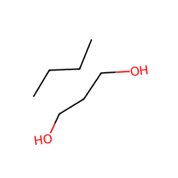 CCCC.OCCCO